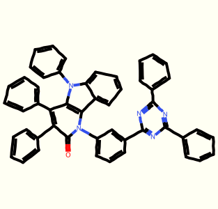 O=c1c(-c2ccccc2)c(-c2ccccc2)c2c(c3ccccc3n2-c2ccccc2)n1-c1cccc(-c2nc(-c3ccccc3)nc(-c3ccccc3)n2)c1